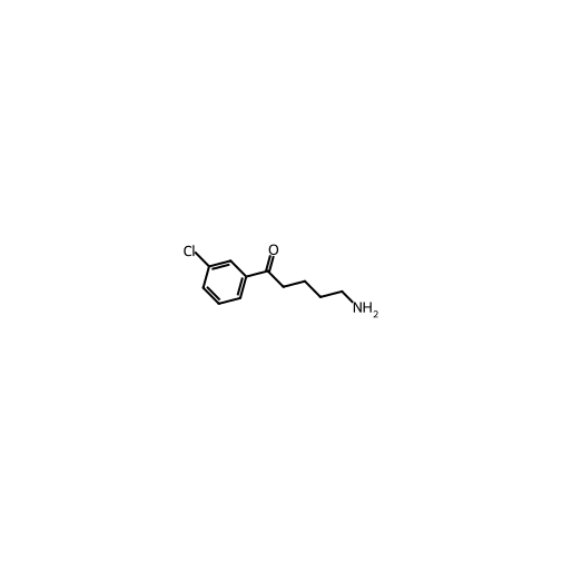 NCCCCC(=O)c1cccc(Cl)c1